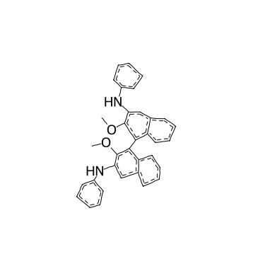 COc1c(Nc2ccccc2)cc2ccccc2c1-c1c(OC)c(Nc2ccccc2)cc2ccccc12